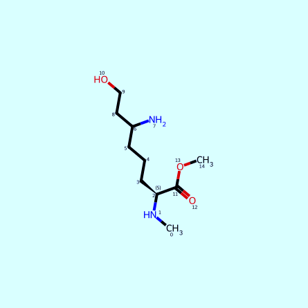 CN[C@@H](CCCC(N)CCO)C(=O)OC